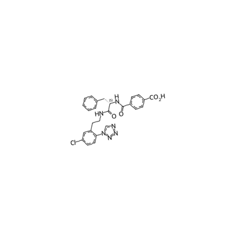 O=C(O)c1ccc(C(=O)N[C@@H](Cc2ccccc2)C(=O)NCCc2cc(Cl)ccc2-n2cnnn2)cc1